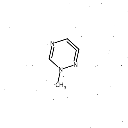 CN1C=NC=C=N1